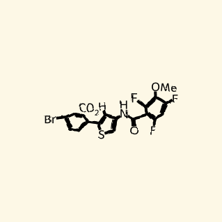 COc1c(F)cc(F)c(C(=O)Nc2csc(-c3ccc(Br)cc3)c2C(=O)O)c1F